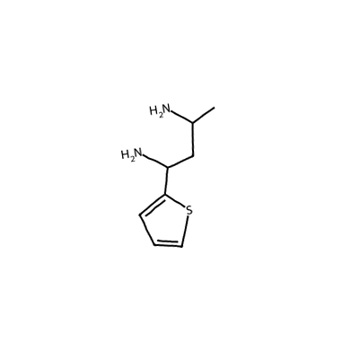 CC(N)CC(N)c1cccs1